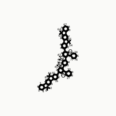 CC1(C)c2ccccc2-c2cc3c(cc21)-c1ccc(-c2cc4c(c5c2oc2ccccc25)-c2ccc5c(c2[Si]4(C)C)[Si](C)(C)c2cc(-c4ccc6c(c4)C(C)(C)c4cc7c(cc4-6)C(C)(C)c4ccccc4-7)c4oc6ccccc6c4c2-5)cc1C3(C)C